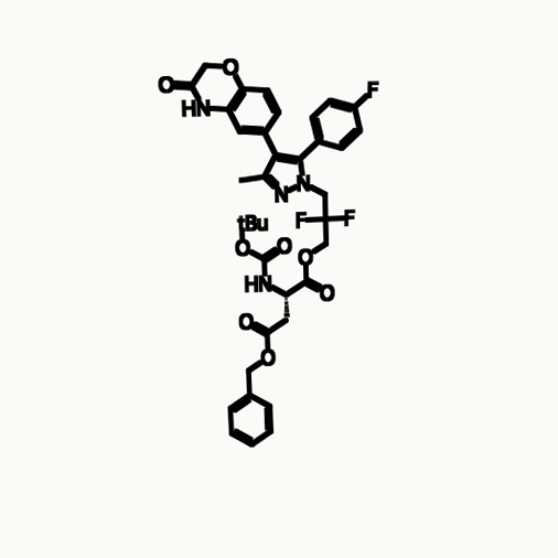 Cc1nn(CC(F)(F)COC(=O)[C@H](CC(=O)OCc2ccccc2)NC(=O)OC(C)(C)C)c(-c2ccc(F)cc2)c1-c1ccc2c(c1)NC(=O)CO2